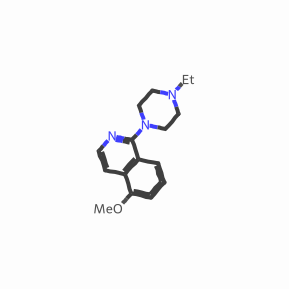 CCN1CCN(c2nccc3c2C=C=C=C3OC)CC1